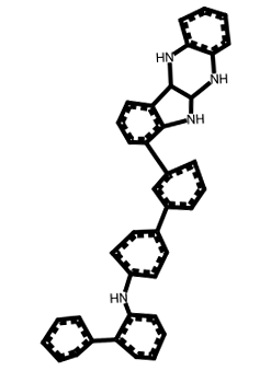 c1ccc(-c2ccccc2Nc2ccc(-c3cccc(-c4cccc5c4NC4Nc6ccccc6NC54)c3)cc2)cc1